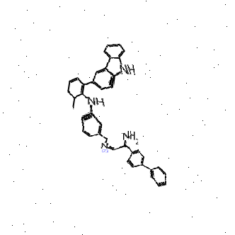 CC1CC=CC(c2ccc3[nH]c4ccccc4c3c2)=C1Nc1cccc(C/N=C\C(N)c2ccc(-c3ccccc3)cc2)c1